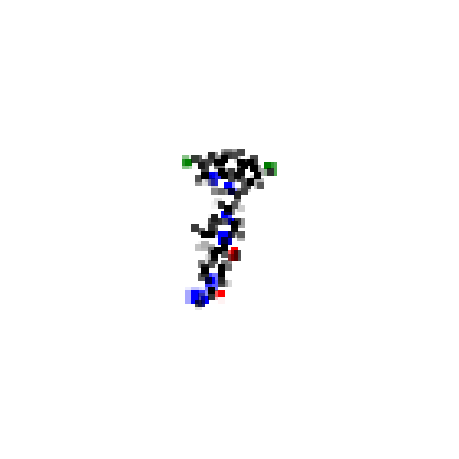 CNC(=O)N1CCC(CC(=O)N2CCN(C3CCN(C4c5ccc(Cl)cc5CCc5cc(Br)cnc54)CC3)CC2C(C)C)CC1